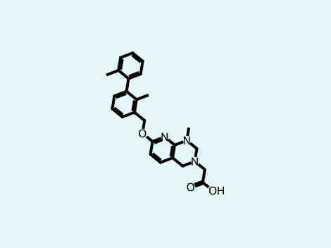 Cc1ccccc1-c1cccc(COc2ccc3c(n2)N(C)CN(CC(=O)O)C3)c1C